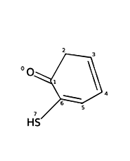 O=C1CC=CC=C1S